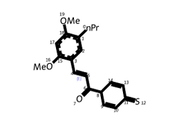 CCCc1cc(/C=C/C(=O)C2C=CC(=S)C=C2)c(OC)cc1OC